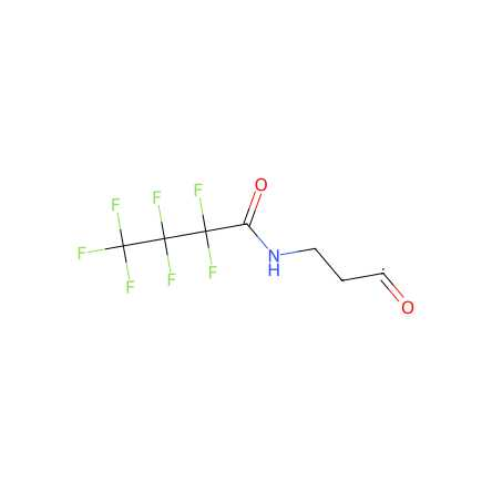 O=[C]CCNC(=O)C(F)(F)C(F)(F)C(F)(F)F